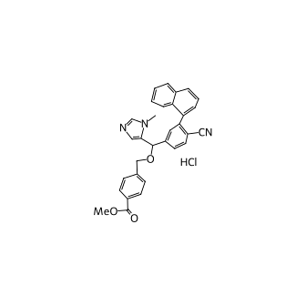 COC(=O)c1ccc(COC(c2ccc(C#N)c(-c3cccc4ccccc34)c2)c2cncn2C)cc1.Cl